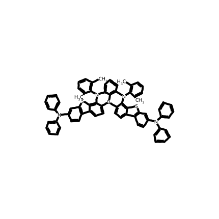 Cc1cccc(C)c1N1c2cccc3c2B(c2ccc4c(sc5cc(N(c6ccccc6)c6ccccc6)ccc54)c21)c1ccc2c(sc4cc(N(c5ccccc5)c5ccccc5)ccc42)c1N3c1c(C)cccc1C